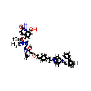 CC(C)(C)[Si](C)(C)O[C@@H](CNCCN(CC1CC1)C(=O)CCOCCc1ccc(CCN2C[C@H]3CC(N(C(=O)O)c4ccccc4-c4ccccc4)C[C@H]3C2)cc1)c1ccc(O)c2[nH]c(=O)ccc12